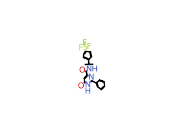 CC(C)(NC(=O)c1cc(=O)[nH]c(-c2ccccc2)n1)c1ccc(S(F)(F)F)cc1